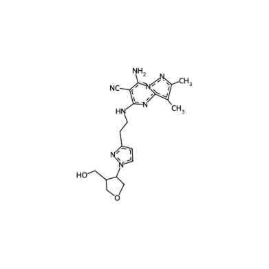 Cc1nn2c(N)c(C#N)c(NCCc3ccn(C4COCC4CO)n3)nc2c1C